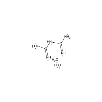 N=C(N)NC(=N)N.O.O